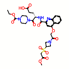 CCOC(=O)N1CCN(C(=O)[C@H](CCC(=O)O)NC(=O)c2cc(OCC(=O)N3CC(S(=O)(=O)CC(=O)OC)C3)c3ccccc3n2)CC1